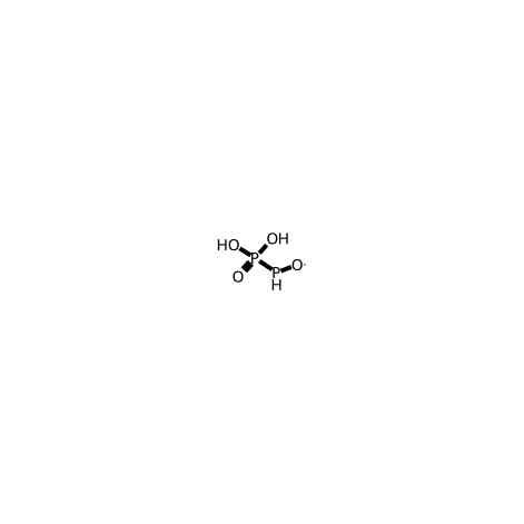 [O]PP(=O)(O)O